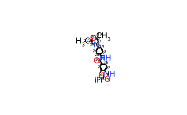 CC(C)S(=O)(=O)Nc1ccc(C(=O)Nc2ccc(N3C[C@@H](C)O[C@@H](C)C3)cc2)cc1